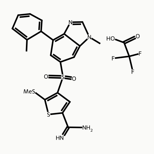 CSc1sc(C(=N)N)cc1S(=O)(=O)c1cc(-c2ccccc2C)c2ncn(C)c2c1.O=C(O)C(F)(F)F